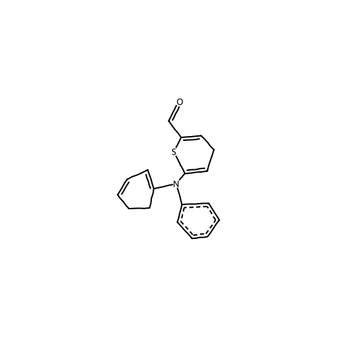 O=CC1=CCC=C(N(C2=CC=CCC2)c2ccccc2)S1